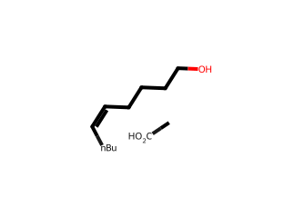 CC(=O)O.CCCC/C=C\CCCCO